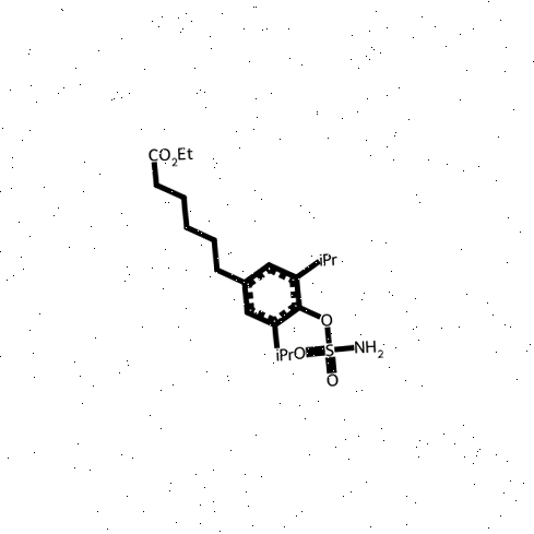 CCOC(=O)CCCCCc1cc(C(C)C)c(OS(N)(=O)=O)c(C(C)C)c1